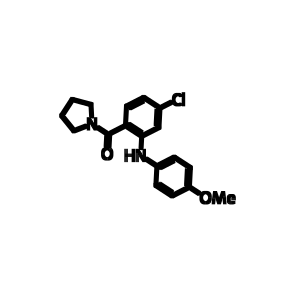 COc1ccc(Nc2cc(Cl)ccc2C(=O)N2CCCC2)cc1